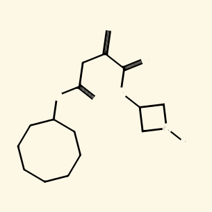 C=C(CC(=O)OC1CCCCCCC1)C(=O)OC1CN(C(C)=O)C1